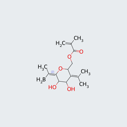 B/C(C)=C1/OC(COC(=O)C(=C)C)C(=C(C)C)C(O)C1O